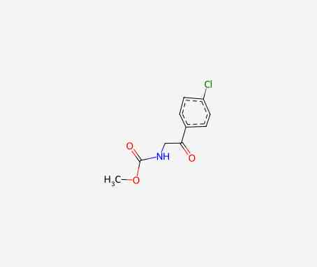 COC(=O)NCC(=O)c1ccc(Cl)cc1